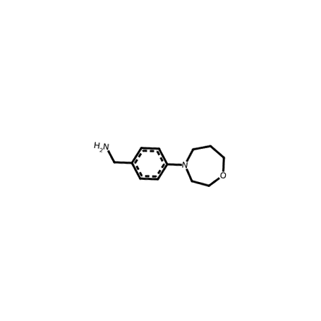 NCc1ccc(N2CCCOCC2)cc1